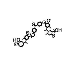 COC1=CC#CC(C(C)c2cc(C(C)(C)Oc3ccc(C(=O)c4ccc(Oc5cc(C(C)C6C=C(C(C)(C)O)C(OC)=CC6C)c(C)cc5OC)cc4)cc3)c(OC)cc2C)C=C1O